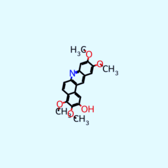 COc1cc2cc3c(ccc4c(OC)c(OC)c(O)cc43)nc2cc1OC